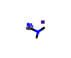 CCCN(C)C.I.N